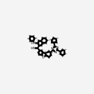 N=C(c1ccc2oc3ccc(-c4nc(-c5ccccc5)nc(-c5ccccc5)n4)cc3c2c1)c1cc2ccccc2cc1Nc1ccccc1